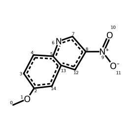 COc1ccc2ncc([N+](=O)[O-])cc2c1